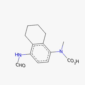 CN(C(=O)O)c1ccc(NC=O)c2c1CCCC2